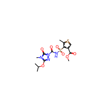 COC(=O)c1csc(C)c1S(=O)(=O)NC(=O)n1nc(OC(C)C)n(C)c1=O